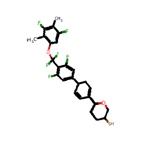 Cc1c(F)cc(OC(F)(F)c2c(F)cc(C3C=CC(C4CCC(S)CO4)=CC3)cc2F)c(C)c1F